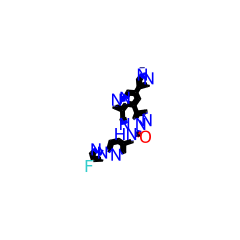 Cn1cc(-c2cc(-c3cnn(C(=O)NCc4ccc(-n5cc(F)cn5)nc4)c3)c3c(C#N)cnn3c2)cn1